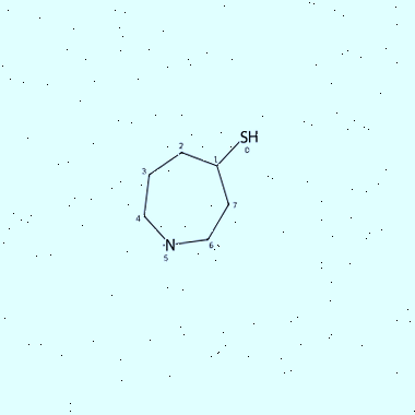 SC1CCC[N]CC1